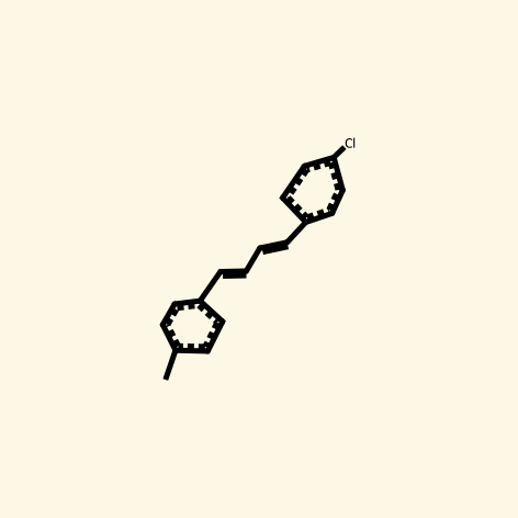 Cc1ccc(/C=C/C=C/c2ccc(Cl)cc2)cc1